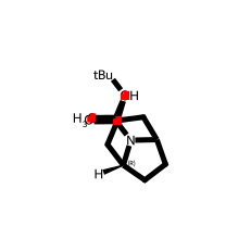 CC1(O)CC2CC[C@H](C1)N2C(=O)OC(C)(C)C